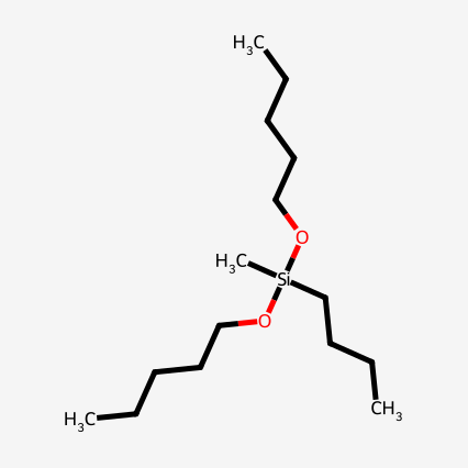 CCCCCO[Si](C)(CCCC)OCCCCC